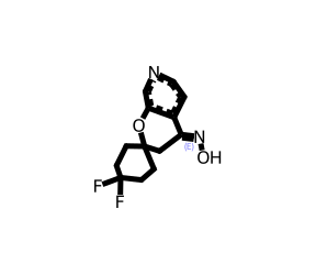 O/N=C1\CC2(CCC(F)(F)CC2)Oc2cnccc21